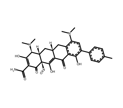 Cc1ccc(-c2cc(N(C)C)c3c(c2O)C(=O)C2=C(O)[C@]4(N=O)C(=O)C(C(N)=O)=C(O)[C@@H](N(C)C)[C@@H]4C[C@@H]2C3)cc1